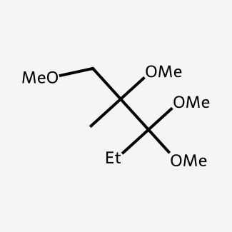 CCC(OC)(OC)C(C)(COC)OC